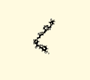 N=N/C(=C\NCC(F)CCn1cc(C(=O)NCc2cc(C(F)(F)F)ccn2)nn1)NC(=O)CN1CC(F)(F)C1